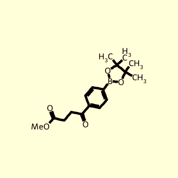 COC(=O)CCC(=O)c1ccc(B2OC(C)(C)C(C)(C)O2)cc1